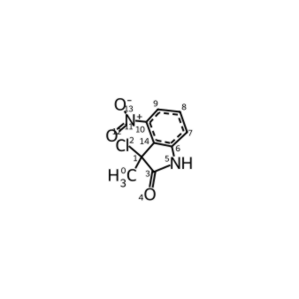 CC1(Cl)C(=O)Nc2cccc([N+](=O)[O-])c21